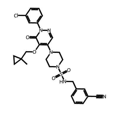 CC1(COc2c(N3CCN(S(=O)(=O)NCc4cccc(C#N)c4)CC3)cnn(-c3cccc(Cl)c3)c2=O)CC1